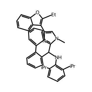 CCc1oc2ccccc2c1-c1cn(C)c(C(Nc2c(C(C)C)cccc2C(C)C)c2ccccc2-c2ccccc2)n1